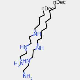 CCCCCCCCCCCCCCCCCCNCCNCCN.CCCCCCCCCCCCCCNCCNCCN